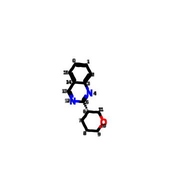 c1ccc2nc([C@H]3CCCOC3)ncc2c1